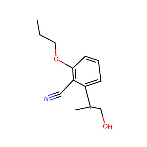 CCCOc1cccc([C](C)CO)c1C#N